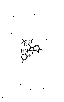 Cc1ccc(Nc2sc3nc(C)ccc3c2C(=O)OC(C)(C)C)c(F)c1